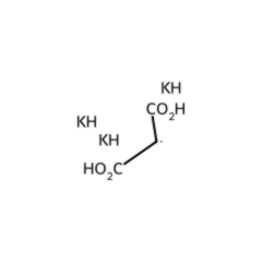 O=C(O)[CH]C(=O)O.[KH].[KH].[KH]